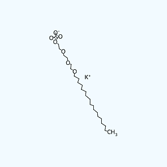 CCCCCCCCCCCCCCCCCCOCCOCCOCCOS(=O)(=O)[O-].[K+]